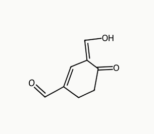 O=CC1=CC(=CO)C(=O)CC1